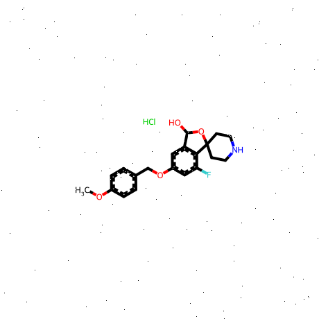 COc1ccc(COc2cc(F)c3c(c2)C(O)OC32CCNCC2)cc1.Cl